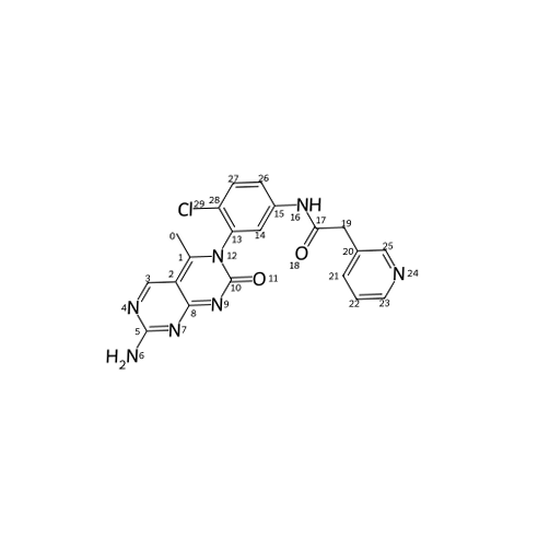 Cc1c2cnc(N)nc2nc(=O)n1-c1cc(NC(=O)Cc2cccnc2)ccc1Cl